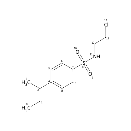 CCC(C)c1ccc(S(=O)(=O)NCCCl)cc1